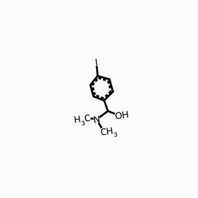 CN(C)C(O)c1ccc(I)cc1